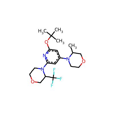 CC1COCCN1c1cc(OC(C)(C)C)nc(N2CCOCC2C(F)(F)F)c1